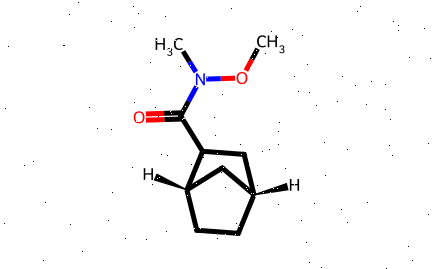 CON(C)C(=O)C1C[C@@H]2CC[C@H]1C2